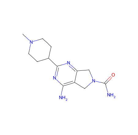 CN1CCC(c2nc(N)c3c(n2)CN(C(N)=O)C3)CC1